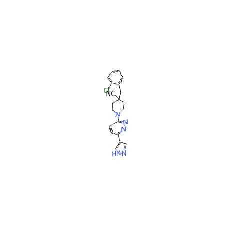 N#CC1(Cc2ccccc2Cl)CCN(c2ccc(-c3cn[nH]c3)nn2)CC1